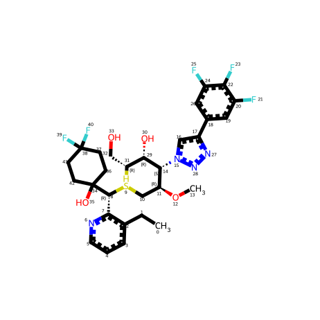 CCc1cccnc1[C@@H]([SH]1C[C@H](OC)[C@@H](n2cc(-c3cc(F)c(F)c(F)c3)nn2)[C@@H](O)[C@H]1CO)C1(O)CCC(F)(F)CC1